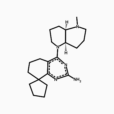 CN1CCC[C@@H]2[C@H]1CCCN2c1nc(N)nc2c1CCCC21CCCC1